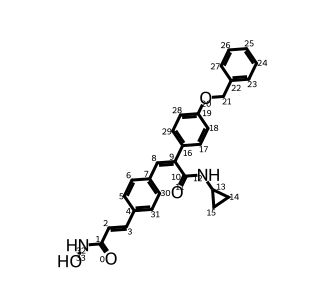 O=C(/C=C/c1ccc(/C=C(\C(=O)NC2CC2)c2ccc(OCc3ccccc3)cc2)cc1)NO